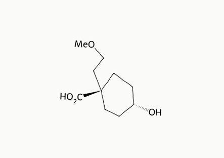 COCC[C@]1(C(=O)O)CC[C@H](O)CC1